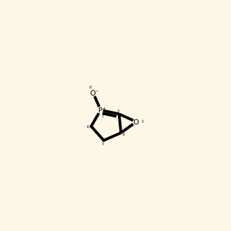 [O-][P+]1=C2OC2CC1